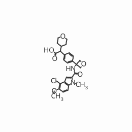 COc1ccc2c(cc(C(=O)NC3(c4ccc(C(C(=O)O)C5CCOCC5)cc4)COC3)n2C)c1Cl